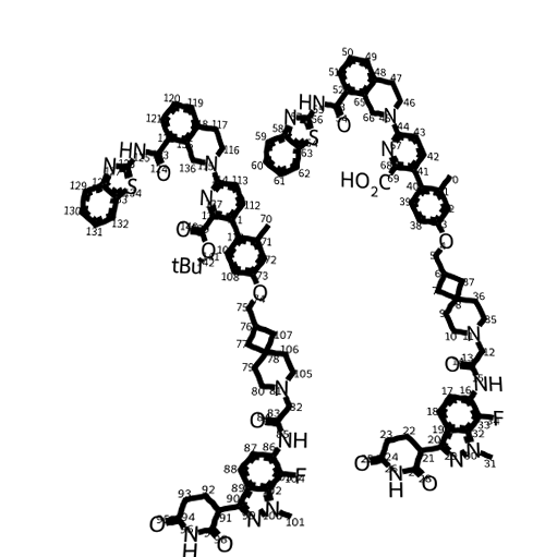 Cc1cc(OCC2CC3(CCN(CC(=O)Nc4ccc5c(C6CCC(=O)NC6=O)nn(C)c5c4F)CC3)C2)ccc1-c1ccc(N2CCc3cccc(C(=O)Nc4nc5ccccc5s4)c3C2)nc1C(=O)O.Cc1cc(OCC2CC3(CCN(CC(=O)Nc4ccc5c(C6CCC(=O)NC6=O)nn(C)c5c4F)CC3)C2)ccc1-c1ccc(N2CCc3cccc(C(=O)Nc4nc5ccccc5s4)c3C2)nc1C(=O)OC(C)(C)C